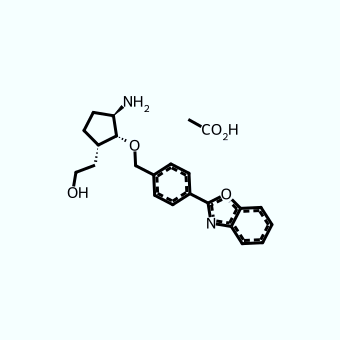 CC(=O)O.N[C@@H]1CC[C@@H](CCO)[C@H]1OCc1ccc(-c2nc3ccccc3o2)cc1